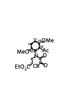 CCOC(=O)CCN(C(=O)C(=O)Cl)c1c(OC)ccc(OC)c1C(C)=O